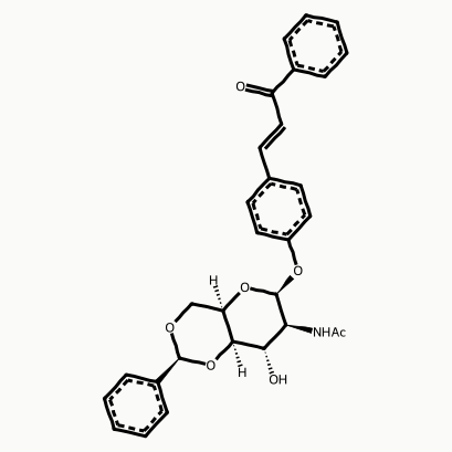 CC(=O)N[C@@H]1[C@H](Oc2ccc(/C=C/C(=O)c3ccccc3)cc2)O[C@@H]2CO[C@H](c3ccccc3)O[C@@H]2[C@H]1O